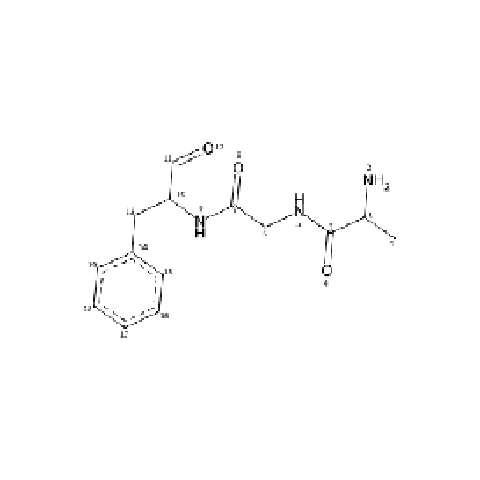 CC(N)C(=O)NCC(=O)NC([C]=O)Cc1ccccc1